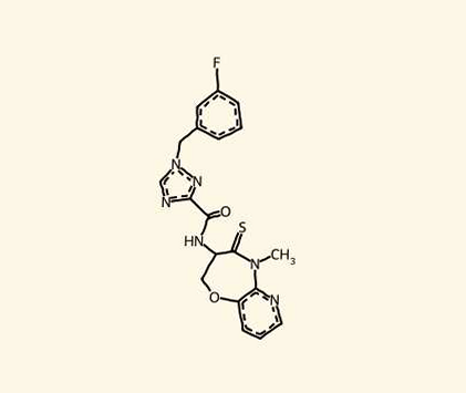 CN1C(=S)C(NC(=O)c2ncn(Cc3cccc(F)c3)n2)COc2cccnc21